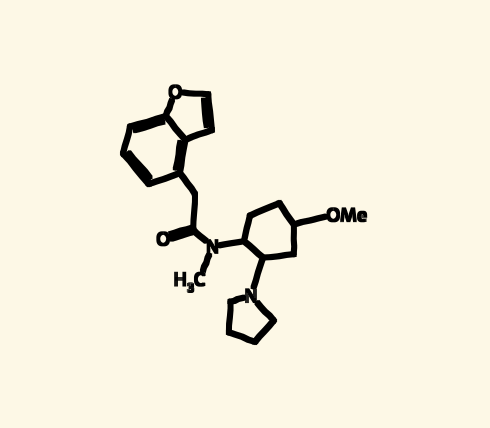 COC1CCC(N(C)C(=O)Cc2cccc3occc23)C(N2CCCC2)C1